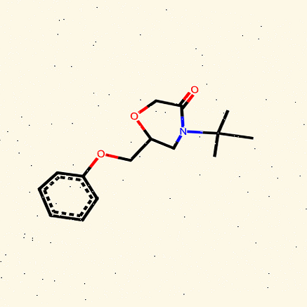 CC(C)(C)N1CC(COc2ccccc2)OCC1=O